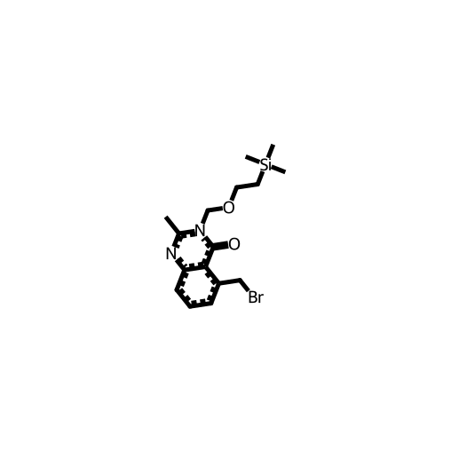 Cc1nc2cccc(CBr)c2c(=O)n1COCC[Si](C)(C)C